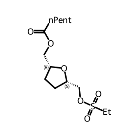 CCCCCC(=O)OC[C@H]1CC[C@@H](COS(=O)(=O)CC)O1